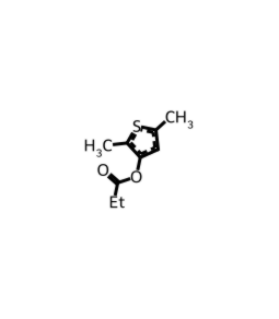 CCC(=O)Oc1cc(C)sc1C